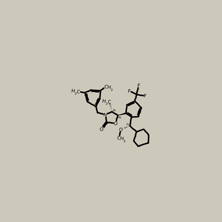 CO[C@H](c1ccc(C(F)(F)F)cc1[C@H]1OC(=O)N(Cc2cc(C)cc(C)c2)[C@@H]1C)C1CCCCC1